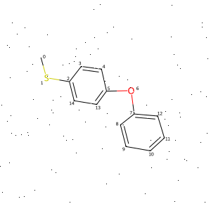 CSc1ccc(Oc2[c]cccc2)cc1